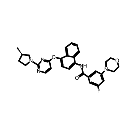 C[C@@H]1CCN(c2nccc(Oc3ccc(NC(=O)c4cc(F)cc(N5CCOCC5)c4)c4ccccc34)n2)C1